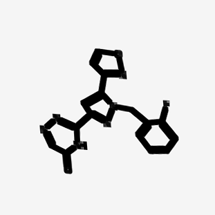 O=c1cnnc(-c2cc(-c3ccon3)n(Cc3ccccc3F)n2)[nH]1